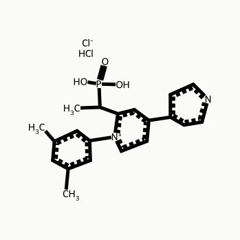 Cc1cc(C)cc(-[n+]2ccc(-c3ccncc3)cc2C(C)P(=O)(O)O)c1.Cl.[Cl-]